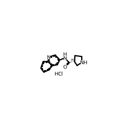 Cl.O=C(Nc1cnc2ccccc2c1)[C@@H]1CCNC1